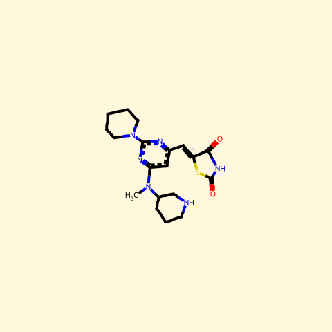 CN(c1cc(/C=C2\SC(=O)NC2=O)nc(N2CCCCC2)n1)C1CCCNC1